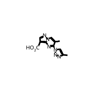 Cc1cn(-c2nc3c(C(=O)O)cnn3cc2C)nn1